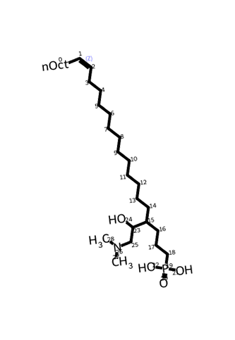 CCCCCCCC/C=C\CCCCCCCCCCCCC(CCCP(=O)(O)O)C(O)CN(C)C